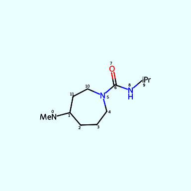 CNC1CCCN(C(=O)NC(C)C)CC1